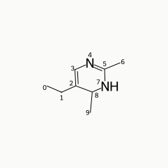 CCC1=CN=C(C)NC1C